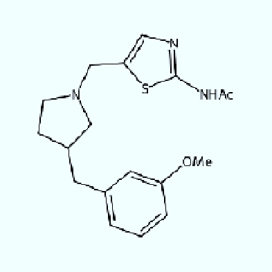 COc1cccc(CC2CCN(Cc3cnc(NC(C)=O)s3)C2)c1